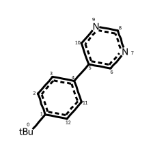 CC(C)(C)c1ccc(-c2cncnc2)cc1